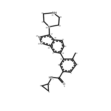 Cc1ccc(C(=O)NC2CC2)cc1-c1ccc2c(N3CCNCC3)noc2c1